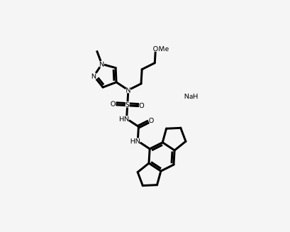 COCCCN(c1cnn(C)c1)S(=O)(=O)NC(=O)Nc1c2c(cc3c1CCC3)CCC2.[NaH]